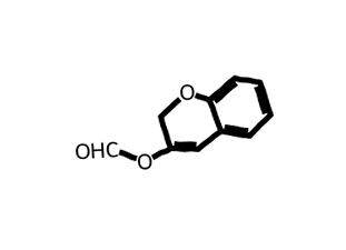 O=COC1=Cc2ccccc2OC1